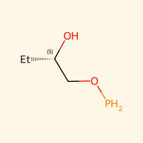 CC[C@H](O)COP